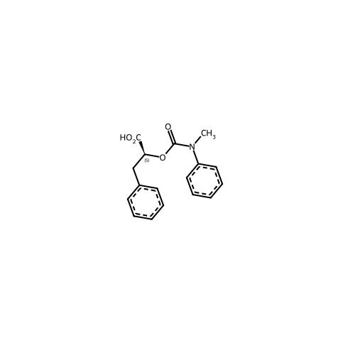 CN(C(=O)O[C@@H](Cc1ccccc1)C(=O)O)c1ccccc1